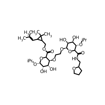 CC(C)=CC1C(COC(=O)C2O[C@@H](OC(C)C)[C@@H](O)[C@@H](O)[C@@H]2OCCO[C@@H]2OC(C(=O)NCC3CCCO3)[C@@H](OC(C)C)[C@H](O)[C@@H]2O)C1(C)C